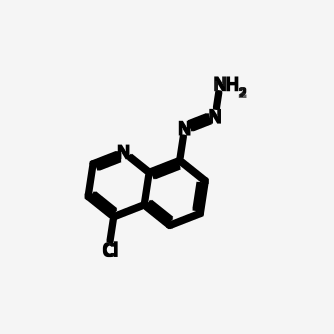 NN=Nc1cccc2c(Cl)ccnc12